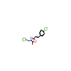 Cc1oc(/C=C/c2ccc(Cl)cc2)nc1CCl